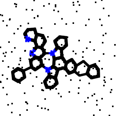 c1ccc(-c2cccc(-n3c4ccccc4c4c5cc6c(cc5c5c7ccccc7n(-c7ccnc8c7ccc7cccnc78)c5c43)Cc3ccccc3C6)c2)cc1